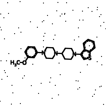 COc1cccc(N2CCN(C3CCN(c4csc5ccccc45)CC3)CC2)c1